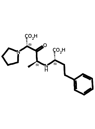 C[C@H](N[C@@H](CCc1ccccc1)C(=O)O)C(=O)[C@@H](C(=O)O)N1CCCC1